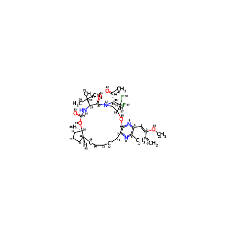 C=C/C(=C\c1nc2c(nc1C)CCCCC[C@@H]1CCC[C@H]1OC(=O)N[C@@H](C(C)(C)C)C(=O)N1C[C@H](O2)C(F)(F)[C@H]1C(C)=O)OC